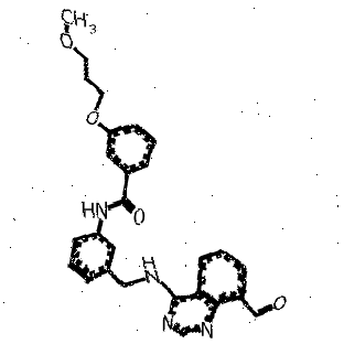 COCCCOc1cccc(C(=O)Nc2cccc(CNc3ncnc4c([C]=O)cccc34)c2)c1